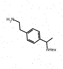 CCCCCCC(C)c1ccc(CCN)cc1